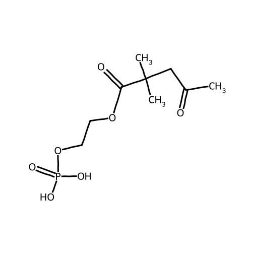 CC(=O)CC(C)(C)C(=O)OCCOP(=O)(O)O